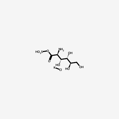 N[C@H](C(=O)OS(=O)(=O)O)[C@@H](O)[C@H](O)[C@H](O)CO.[Cl][K]